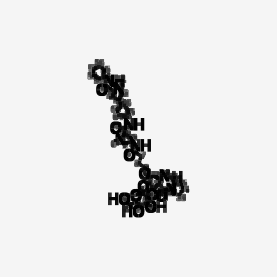 Cn1cc(NC(=O)CCCOc2cc3c(cc2O[C@@H]2O[C@H](CO)[C@@H](O)[C@H](O)[C@H]2O)C(=O)N2CCCC[C@H]2C=N3)cc1C(=O)Nc1ccc(-c2cc(C(=O)Nc3ccccc3)n(C)c2)cc1